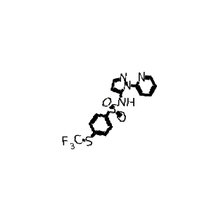 O=S(=O)(Nc1ccnn1-c1ccccn1)c1ccc(SC(F)(F)F)cc1